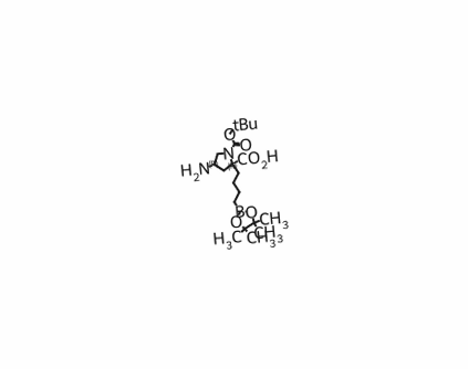 CC(C)(C)OC(=O)N1C[C@H](N)C[C@]1(CCCCB1OC(C)(C)C(C)(C)O1)C(=O)O